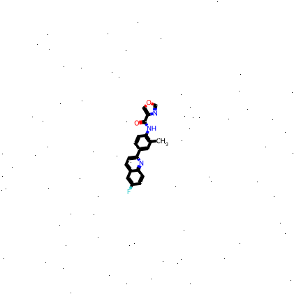 Cc1cc(-c2ccc3cc(F)ccc3n2)ccc1NC(=O)c1cocn1